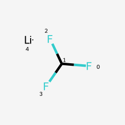 FC(F)F.[Li]